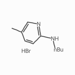 Br.CCCCNc1ccc(C)cn1